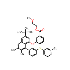 CCCCC(C)(C)c1cc(Oc2cccc(C(=O)OCCOCC)c2)c2c(-c3cccc(SC4=CCCC(CC)=C4)c3)c(C#N)c(C#N)cc2c1